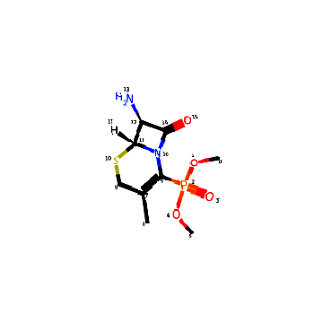 COP(=O)(OC)C1=C(C)CS[C@@H]2[C@@H](N)C(=O)N12